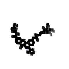 CC(C)(C)c1csc(NC(=O)c2ccn3c(=O)c(/C=C/c4nnn[nH]4)c(N4CCCC(CC(=O)NCCNC(=O)[N+](C)(C)C)C4)nc3c2)n1